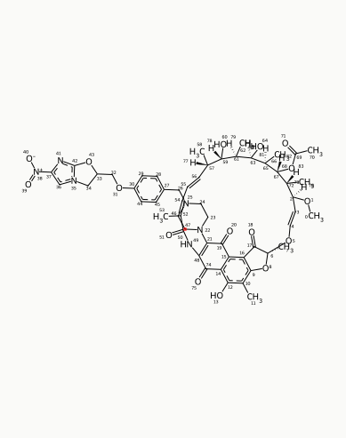 CO[C@H]1/C=C/O[C@@]2(C)Oc3c(C)c(O)c4c(c3C2=O)C(=O)C(N2CCN(Cc3ccc(OCC5Cn6cc([N+](=O)[O-])nc6O5)cc3)CC2)=C(NC(=O)/C(C)=C\C=C\[C@H](C)[C@H](O)[C@@H](C)[C@@H](O)[C@@H](C)[C@H](OC(C)=O)[C@@H]1C)C4=O